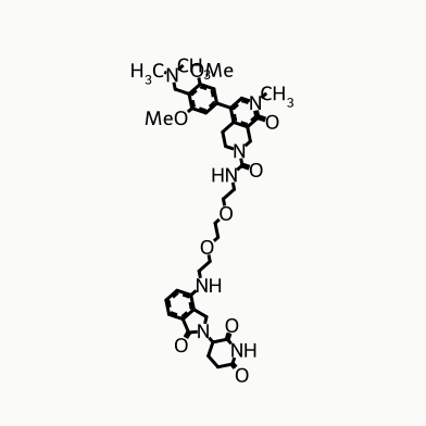 COc1cc(-c2cn(C)c(=O)c3c2CCN(C(=O)NCCOCCOCCNc2cccc4c2CN(C2CCC(=O)NC2=O)C4=O)C3)cc(OC)c1CN(C)C